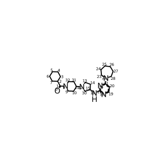 O=C(C1CCCCC1)N1CCC(N2CCC(Nc3nccc(N4CCCCCC4)n3)C2)CC1